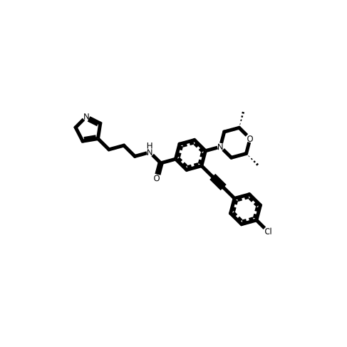 C[C@@H]1CN(c2ccc(C(=O)NCCCC3=CCN=C3)cc2C#Cc2ccc(Cl)cc2)C[C@H](C)O1